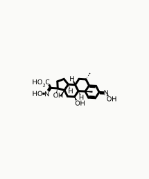 C[C@H]1C[C@@H]2[C@H]([C@@H](O)C[C@@]3(C)[C@H]2CC[C@]3(O)C(=NO)C(=O)O)[C@@]2(C)C=CC(=NO)C=C12